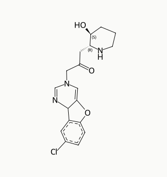 O=C(C[C@H]1NCCC[C@@H]1O)CN1C=NC2C(=C1)Oc1ccc(Cl)cc12